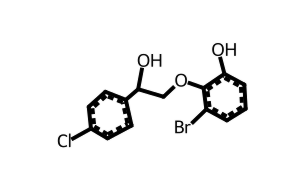 Oc1cccc(Br)c1OCC(O)c1ccc(Cl)cc1